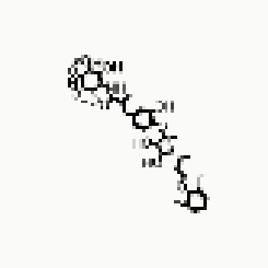 C/C(=C\c1ccc(O[C@@H]2O[C@H](/C(C)=C/COc3c(F)cccc3F)[C@@H](O)[C@@H]2O)c(O)c1)C(=O)N[C@@H]1[C@H](O)[C@@H](O)[C@H]2OCO[C@H]2[C@@H]1O